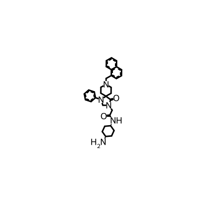 N[C@H]1CC[C@H](NC(=O)CN2CN(c3ccccc3)C3(CCN(Cc4cccc5ccccc45)CC3)C2=O)CC1